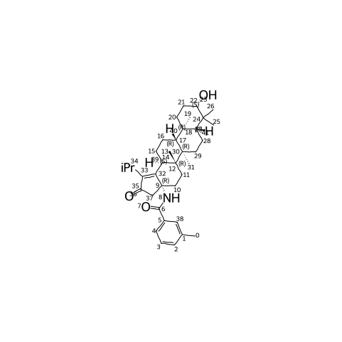 Cc1cccc(C(=O)N[C@@]23CC[C@]4(C)[C@H](CC[C@@H]5[C@@]6(C)CC[C@H](O)C(C)(C)[C@@H]6CC[C@]54C)C2=C(C(C)C)C(=O)C3)c1